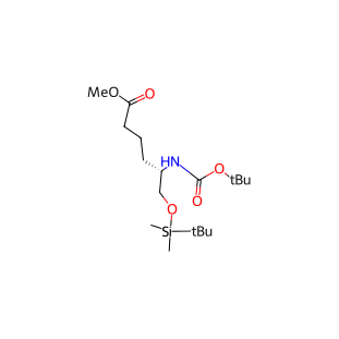 COC(=O)CCC[C@@H](CO[Si](C)(C)C(C)(C)C)NC(=O)OC(C)(C)C